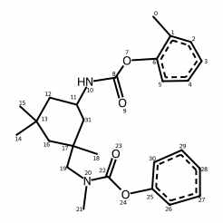 Cc1ccccc1OC(=O)NC1CC(C)(C)CC(C)(CN(C)C(=O)Oc2ccccc2)C1